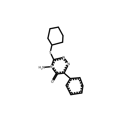 Nn1c(SC2CCCCC2)nnc(-c2ccccc2)c1=O